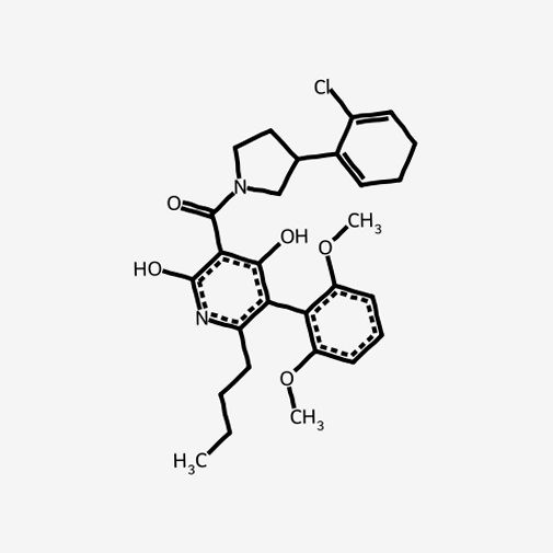 CCCCc1nc(O)c(C(=O)N2CCC(C3=CCCC=C3Cl)C2)c(O)c1-c1c(OC)cccc1OC